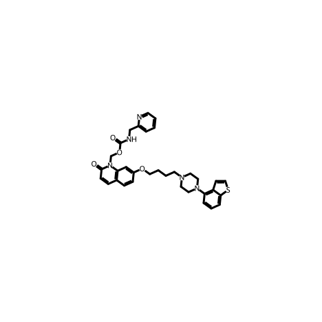 O=C(NCc1ccccn1)OCn1c(=O)ccc2ccc(OCCCCN3CCN(c4cccc5sccc45)CC3)cc21